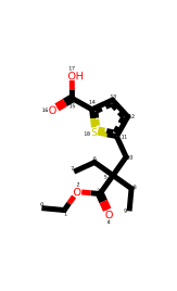 CCOC(=O)C(CC)(CC)Cc1ccc(C(=O)O)s1